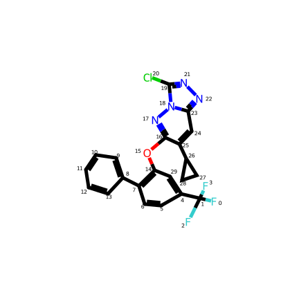 FC(F)(F)c1ccc(-c2ccccc2)c(Oc2nn3c(Cl)nnc3cc2C2CC2)c1